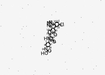 CN(C(=O)O)c1ccc(-n2[nH]c([C@@H]3CCc4cc(-c5cc(Cl)ccc5-n5cnnn5)cc(=O)n43)cc2=O)cc1